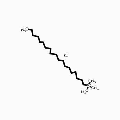 CCCCCCCCCCCCCCCCCCC[P+](C)(C)C.[Cl-]